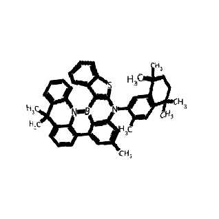 Cc1cc2c3c(c1)N(c1cc4c(cc1C)C(C)(C)CCC4(C)C)c1sc4ccccc4c1B3N1c3ccccc3C(C)(C)c3cccc-2c31